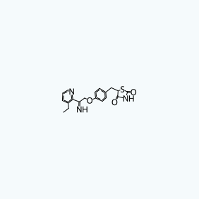 CCc1cccnc1C(=N)COc1ccc(CC2SC(=O)NC2=O)cc1